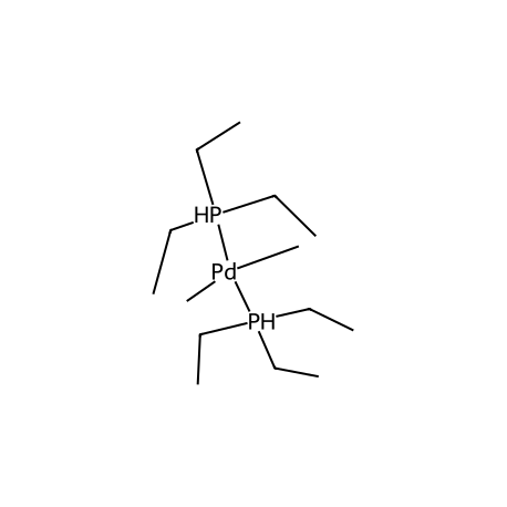 CC[PH](CC)(CC)[Pd]([CH3])([CH3])[PH](CC)(CC)CC